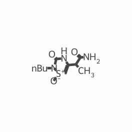 CCCCN1C(=O)NC(C(C)C(N)=O)=C[S+]1[O-]